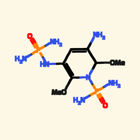 COC1=C(NP(N)(N)=O)C=C(N)C(OC)N1P(N)(N)=O